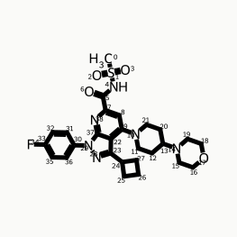 CS(=O)(=O)NC(=O)c1cc(N2CCC(N3CCOCC3)CC2)c2c(C3CCC3)nn(-c3ccc(F)cc3)c2n1